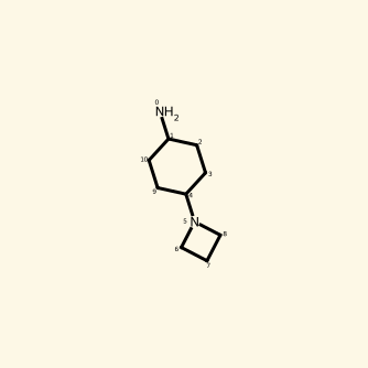 NC1CCC(N2CCC2)CC1